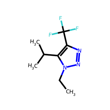 CCn1nnc(C(F)(F)F)c1C(C)C